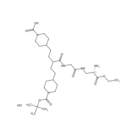 CCOC(=O)[C@@H](N)CNC(=O)CNC(=O)C(CCC1CCN(C(=O)O)CC1)CCC1CCN(C(=O)OC(C)(C)C)CC1.Cl